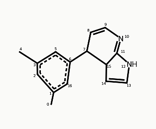 Cc1cc(C)cc(C2C=CN=C3NC=CC32)c1